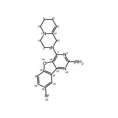 Nc1nc(N2CCN3CCCC=C3C2)c2oc3ccc(Br)cc3c2n1